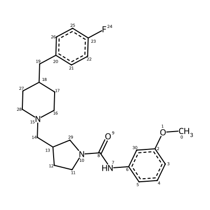 COc1cccc(NC(=O)N2CCC(CN3CCC(Cc4ccc(F)cc4)CC3)C2)c1